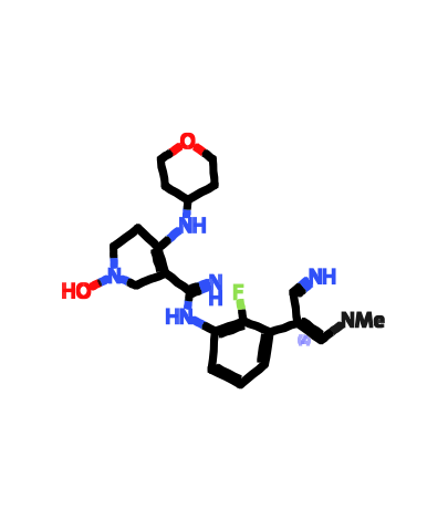 CN/C=C(\C=N)c1cccc(NC(=N)C2=C(NC3CCOCC3)CCN(O)C2)c1F